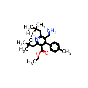 CCOC(=O)c1c(CC(C)(C)C)nc(CC(C)(C)C)c(CN)c1-c1ccc(C)cc1